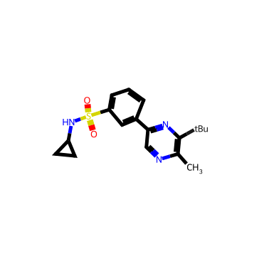 Cc1ncc(-c2cccc(S(=O)(=O)NC3CC3)c2)nc1C(C)(C)C